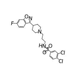 O=S(=O)(NCCCN1CCC(c2noc3cc(F)ccc23)CC1)c1ccc(Cl)c(Cl)c1